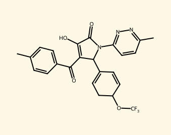 Cc1ccc(C(=O)C2=C(O)C(=O)N(c3ccc(C)nn3)C2C2=CCC(OC(F)(F)F)C=C2)cc1